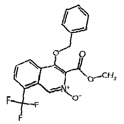 COC(=O)c1c(OCc2ccccc2)c2cccc(C(F)(F)F)c2c[n+]1[O-]